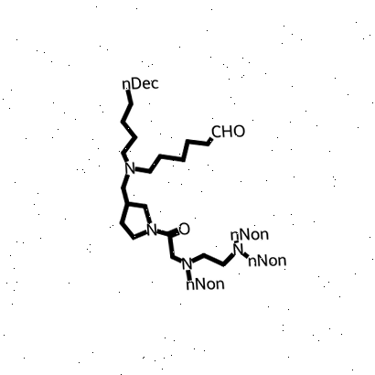 CCCCCCCCCCCCCCN(CCCCCC=O)CC1CCN(C(=O)CN(CCCCCCCCC)CCN(CCCCCCCCC)CCCCCCCCC)C1